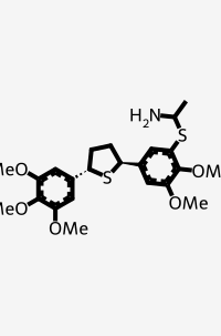 COc1cc([C@@H]2CC[C@@H](c3cc(OC)c(OC)c(SC(C)N)c3)S2)cc(OC)c1OC